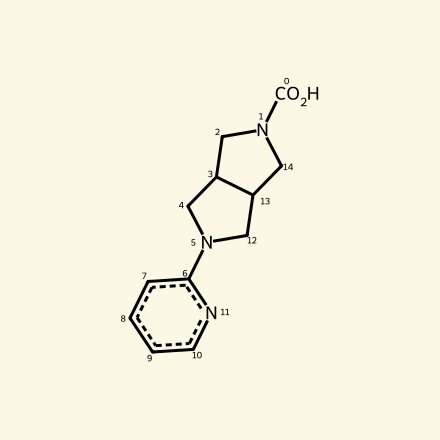 O=C(O)N1CC2CN(c3ccccn3)CC2C1